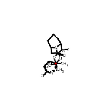 CC(C)(C)OC(=O)N1C2CCCC1[C@@H](F)[C@@H](Oc1ccc(Cl)nn1)C2